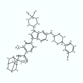 O=C(NC1(C(=O)O)C2CC3CC(C2)CC1C3)c1cnc(-c2cn(C3CCC(F)(F)CC3)c3cc(OC4CCN(c5cc(F)ccn5)CC4)ccc23)nc1C(F)(F)F